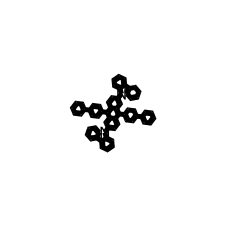 C1=Cc2c(c3ccccc3n2-c2ccc3c(-c4ccc(-c5ccccc5)cc4)c4cc(-n5c6ccccc6c6ccccc65)ccc4c(C4=CC=C(c5ccccc5)CC4)c3c2)CC1